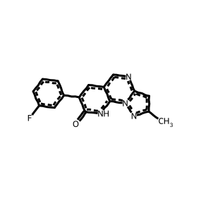 Cc1cc2ncc3cc(-c4cccc(F)c4)c(=O)[nH]c3n2n1